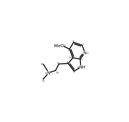 COc1ccnc2[nH]cc(CCN(C)C)c12